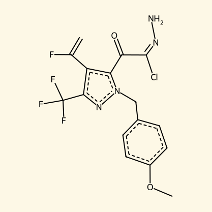 C=C(F)c1c(C(F)(F)F)nn(Cc2ccc(OC)cc2)c1C(=O)/C(Cl)=N\N